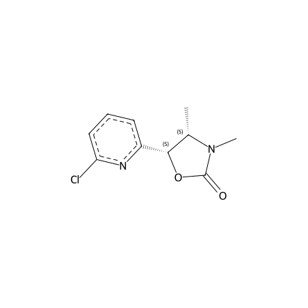 C[C@H]1[C@@H](c2cccc(Cl)n2)OC(=O)N1C